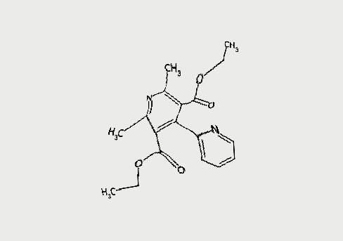 CCOC(=O)c1c(C)nc(C)c(C(=O)OCC)c1-c1ccccn1